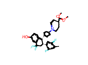 COC(OC)C1CCN(c2ccc([C@H]3c4ccc(O)cc4C(F)(F)C[C@H]3c3cc(F)c(C)cc3F)cc2)CC1